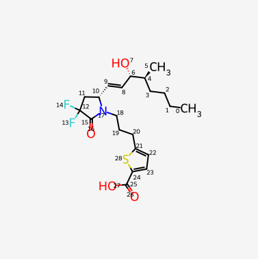 CCCC[C@H](C)[C@@H](O)C=C[C@H]1CC(F)(F)C(=O)N1CCCc1ccc(C(=O)O)s1